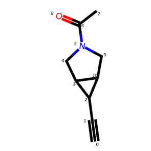 C#CC1C2CN(C(C)=O)CC12